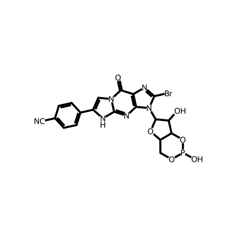 N#Cc1ccc(-c2cn3c(=O)c4nc(Br)n(C5OC6COP(O)OC6C5O)c4nc3[nH]2)cc1